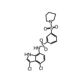 O=S(=O)(Nc1ccc(Cl)c2c(Cl)c[nH]c12)c1cccc(S(=O)(=O)N2CCCCC2)c1